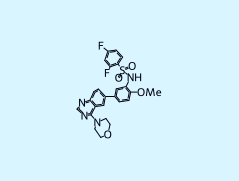 COc1ccc(-c2ccc3ncnc(N4CCOCC4)c3c2)cc1NS(=O)(=O)c1ccc(F)cc1F